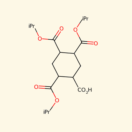 CC(C)OC(=O)C1CC(C(=O)OC(C)C)C(C(=O)OC(C)C)CC1C(=O)O